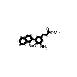 COC(=O)CCc1cc(N)c(OCC(C)C)c(-c2ccc3ccccc3c2)c1